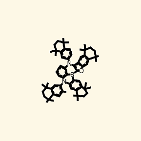 Cc1cc2c(cc1N1c3cc4c(cc3B3c5oc6cc7c(cc6c5N(c5ccc6c(c5)C(C)(C)CCC6(C)C)c5cccc1c53)C(C)(C)CCC7(C)C)C(C)(C)CCC4(C)C)C(C)(C)CCC2(C)C